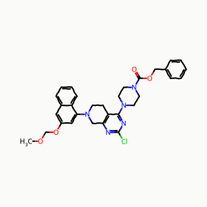 COCOc1cc(N2CCc3c(nc(Cl)nc3N3CCN(C(=O)OCc4ccccc4)CC3)C2)c2ccccc2c1